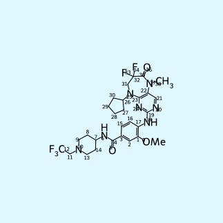 COc1cc(C(=O)NC2CCN(CC(F)(F)F)CC2)ccc1Nc1ncc2c(n1)N(C1CCCC1)CC(F)(F)C(=O)N2C